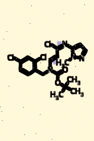 Cn1nccc1/N=C(Cl)\C=C\N(Cc1ccc(Cl)cc1Cl)C(=O)OC(C)(C)C